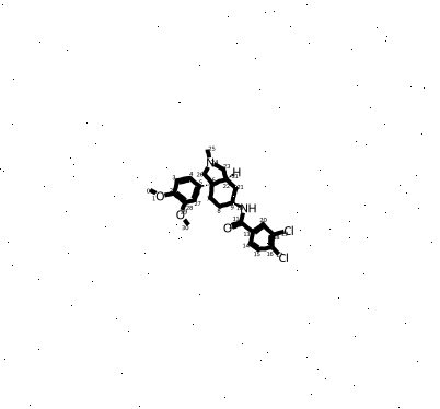 COc1ccc([C@@]23CC[C@H](NC(=O)c4ccc(Cl)c(Cl)c4)C[C@@H]2CN(C)C3)cc1OC